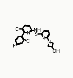 OC1CN(c2cccc(SNc3ccc(Cl)c(-c4ccc(F)cc4Cl)n3)n2)C1